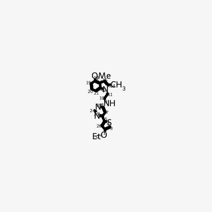 CCOc1csc(-c2cc(NCCn3c(C)cc4c(OC)cccc43)ncn2)c1